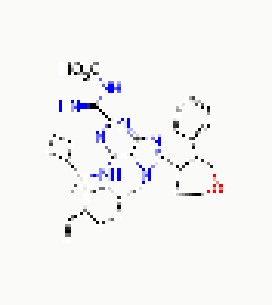 C=C[C@H]1CC[C@H](Cn2c(C3CCOCC3c3ccccc3)nc3nc(C(=N)NC(=O)O)nc(N[C@H](C)C4CCC4)c32)CC1